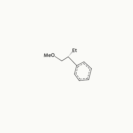 CC[C@@H](COC)c1ccccc1